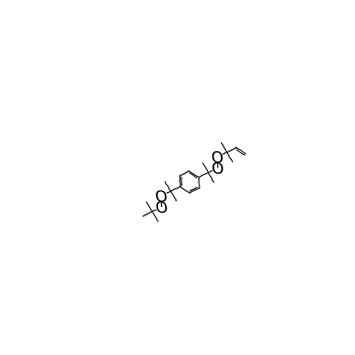 C=CC(C)(C)OOC(C)(C)c1ccc(C(C)(C)OOC(C)(C)C)cc1